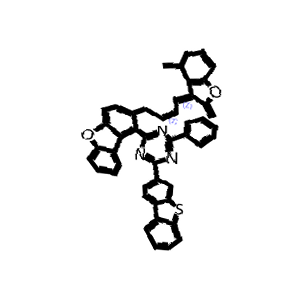 C=c1oc2c(/c1=C/C=C\Cc1ccc3oc4ccccc4c3c1-c1nc(-c3ccccc3)nc(-c3ccc4c(c3)sc3ccccc34)n1)C(C)CC=C2